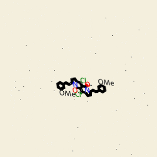 COc1cccc(/C=C/c2ccc3c(Cl)c4c(=O)n5c(/C=C/c6cccc(OC)c6)ccc5c(Cl)c4c(=O)n23)c1